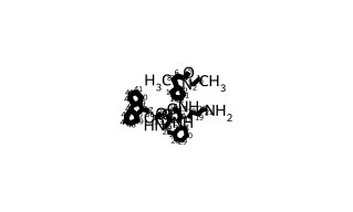 CCCn1c(=O)cc(C)c2ccc(NC(=O)[C@H](CCCCN)NC(=O)[C@H](CC3CCCCC3)NC(=O)OCC3c4ccccc4-c4ccccc43)cc21